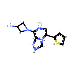 Cl.NC1CN(c2ncc(-c3cccs3)n3cnnc23)C1